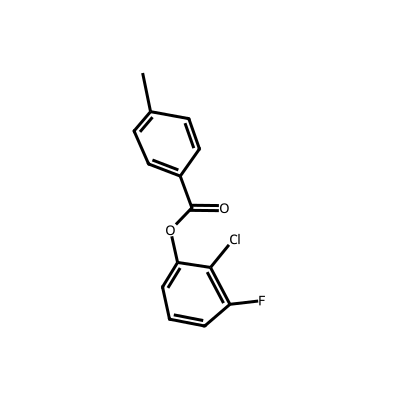 Cc1ccc(C(=O)Oc2cccc(F)c2Cl)cc1